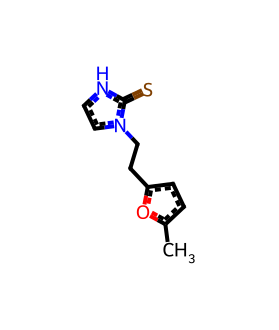 Cc1ccc(CCn2cc[nH]c2=S)o1